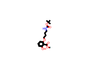 COC(=O)c1c(O)cccc1OCCCCNC(=O)OC(C)(C)C